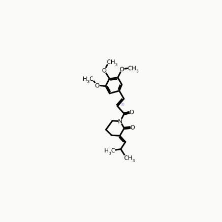 COc1cc(/C=C/C(=O)N2CCCC(=CC(C)C)C2=O)cc(OC)c1OC